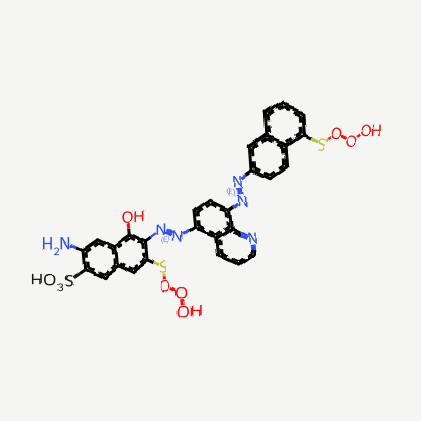 Nc1cc2c(O)c(/N=N/c3ccc(/N=N/c4ccc5c(SOOO)cccc5c4)c4ncccc34)c(SOOO)cc2cc1S(=O)(=O)O